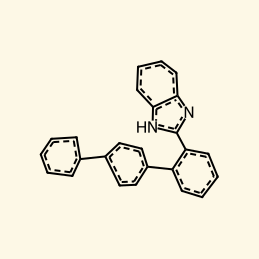 c1ccc(-c2ccc(-c3ccccc3-c3nc4ccccc4[nH]3)cc2)cc1